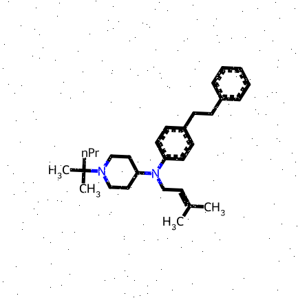 CCCC(C)(C)N1CCC(N(CC=C(C)C)c2ccc(CCc3ccccc3)cc2)CC1